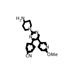 COc1ccc(-c2cnc(N3CCC(N)CC3)nc2-c2ccc(C#N)cc2)cn1